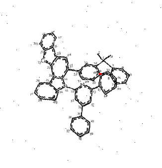 CC1(C)c2ccccc2-c2ccc(-c3cc4c5ccccc5oc4c4c5ccccc5n(-c5cc(-c6ccccc6)cc(-c6ccccc6)n5)c34)cc21